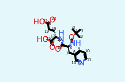 CC(C)(C)ON[C@@H](Cc1cccnc1)C(=O)N[C@@H](CCC(=O)O)C(=O)O